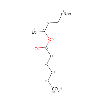 CCCCCCCCCCCC(CC)OC(=O)CCCCC(=O)O